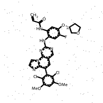 C=CC(=O)Nc1cc(O[C@@H]2CCOC2)c(F)cc1Nc1ncc2cc(-c3c(Cl)c(OC)cc(OC)c3Cl)c3nccn3c2n1